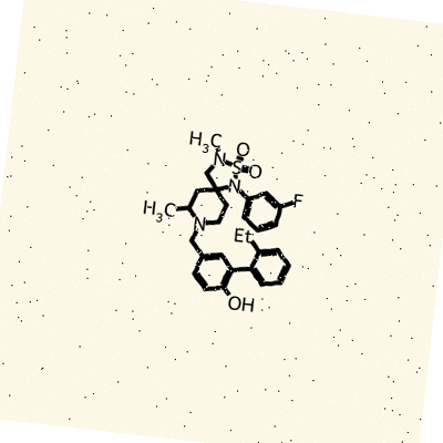 CCc1ccccc1-c1cc(CN2CCC3(CC2C)CN(C)S(=O)(=O)N3c2cccc(F)c2)ccc1O